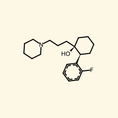 O[C@@]1(CCCN2CCCCC2)CCCC[C@H]1c1ccccc1F